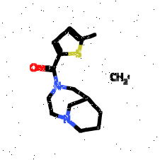 Cc1ccc(C(=O)N2CCN3CCCC(C3)C2)s1.[CH2]